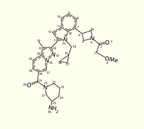 COCC(=O)N1CC(c2cccc3cc(-c4nn5cc(C(=O)N6CCCC(N)C6)ccc5c4C)n(CC4CC4)c23)C1